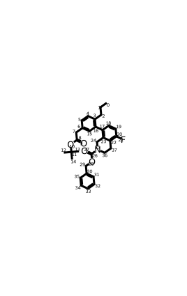 CCCc1ccc(CC(=O)OC(C)(C)C)cc1-c1ccc(F)c2c1CN(C(=O)OCc1ccccc1)CC2